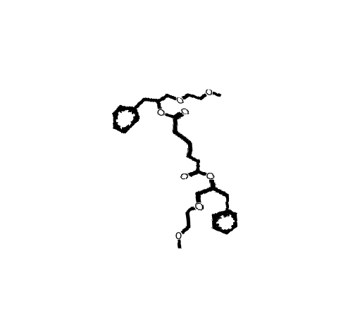 COCCOCC(Cc1ccccc1)OC(=O)CCCCC(=O)OC(COCCOC)Cc1ccccc1